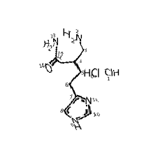 Cl.Cl.NCC(CCc1c[nH]cn1)C(N)=O